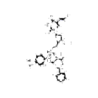 CC(C)C(NP(=O)(OCC1O[C@@H](n2cc(/C=C/Br)c(=O)[nH]c2=O)C[C@H]1O)Oc1ccc([N+](=O)[O-])cc1)C(=O)OCc1ccccc1